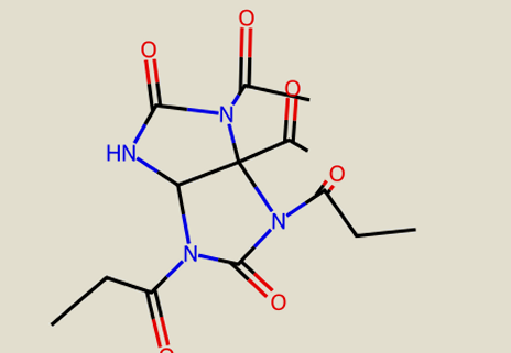 CCC(=O)N1C(=O)N(C(=O)CC)C2(C(C)=O)C1NC(=O)N2C(C)=O